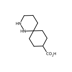 O=C(O)C1CCC2(CCCNN2)CC1